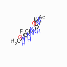 C=CC(=O)Nc1cccc(Nc2nc(Nc3ccc4c(c3)OC[C@@H]3CN(C(C)=O)CCN43)ncc2C(F)(F)F)c1